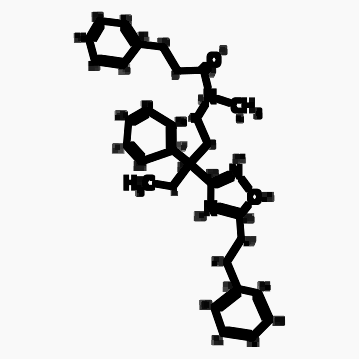 CCC(CCN(C)C(=O)CCc1ccccc1)(c1ccccc1)c1noc(CCc2ccccc2)n1